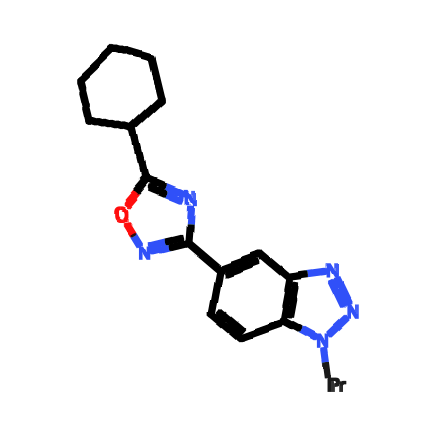 CC(C)n1nnc2cc(-c3noc(C4CCCCC4)n3)ccc21